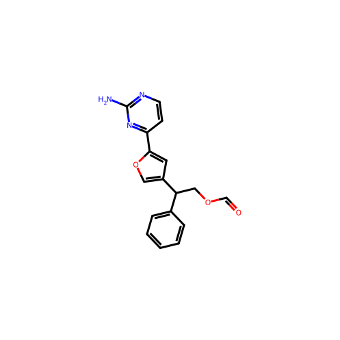 Nc1nccc(-c2cc(C(COC=O)c3ccccc3)co2)n1